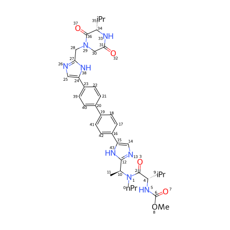 CCCN(C(=O)[C@@H](NC(=O)OC)C(C)C)[C@@H](C)c1ncc(-c2ccc(-c3ccc(-c4cnc(CN5CC(=O)N[C@@H](C(C)C)C5=O)[nH]4)cc3)cc2)[nH]1